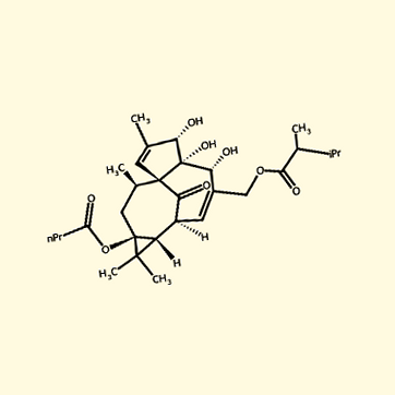 CCCC(=O)O[C@@]12C[C@@H](C)[C@]34C=C(C)[C@H](O)[C@@]3(O)[C@H](O)C(COC(=O)C(C)C(C)C)=C[C@H](C4=O)[C@@H]1C2(C)C